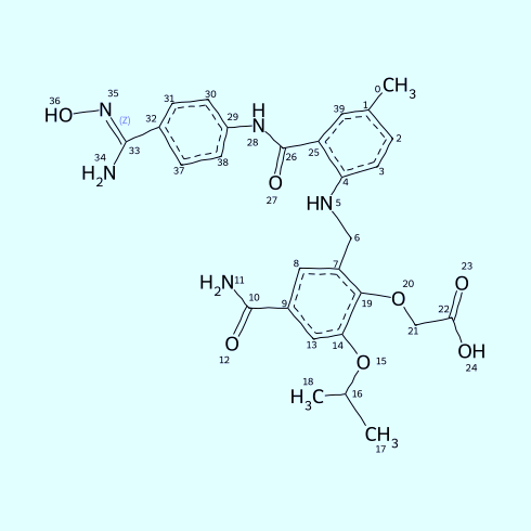 Cc1ccc(NCc2cc(C(N)=O)cc(OC(C)C)c2OCC(=O)O)c(C(=O)Nc2ccc(/C(N)=N/O)cc2)c1